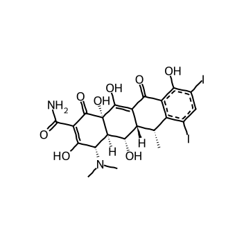 C[C@H]1c2c(I)cc(I)c(O)c2C(=O)C2=C(O)[C@]3(O)C(=O)C(C(N)=O)=C(O)[C@@H](N(C)C)[C@@H]3[C@@H](O)[C@H]21